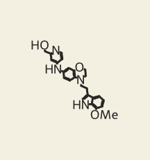 COc1cccc2c(CCN3CCOc4cc(Nc5ccnc(CO)c5)ccc43)c[nH]c12